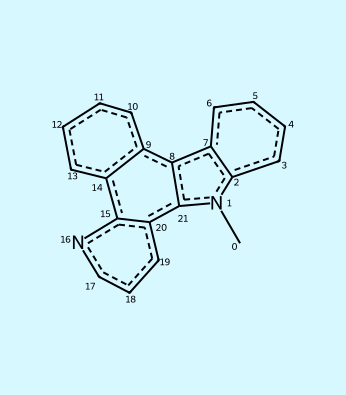 Cn1c2ccccc2c2c3ccccc3c3ncccc3c21